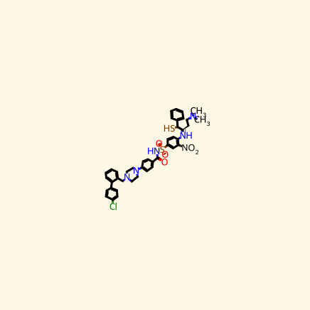 CN(C)CC[C@@H](Nc1ccc(S(=O)(=O)NC(=O)c2ccc(N3CCN(Cc4ccccc4-c4ccc(Cl)cc4)CC3)cc2)cc1[N+](=O)[O-])C(S)c1ccccc1